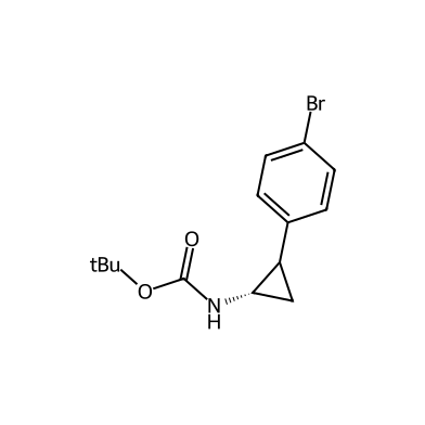 CC(C)(C)OC(=O)N[C@H]1CC1c1ccc(Br)cc1